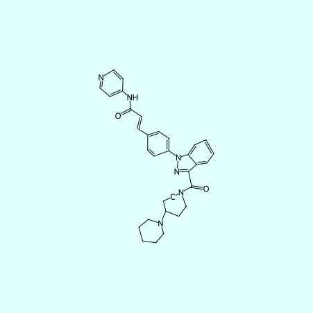 O=C(C=Cc1ccc(-n2nc(C(=O)N3CCC(N4CCCCC4)CC3)c3ccccc32)cc1)Nc1ccncc1